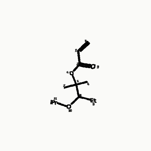 C=CC(=O)OC(C)(C)C(CC)OC(C)C